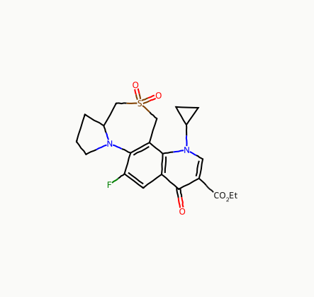 CCOC(=O)c1cn(C2CC2)c2c3c(c(F)cc2c1=O)N1CCCC1CS(=O)(=O)C3